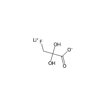 O=C([O-])C(O)(O)CF.[Li+]